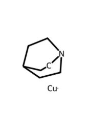 C1CN2CCC1CC2.[Cu]